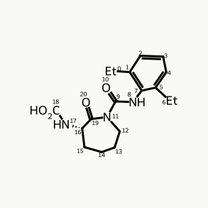 CCc1cccc(CC)c1NC(=O)N1CCCC[C@H](NC(=O)O)C1=O